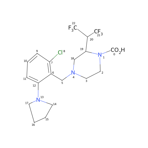 O=C(O)N1CCN(Cc2c(Cl)cccc2N2CCCC2)CC1C(C(F)(F)F)C(F)(F)F